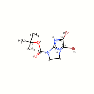 CC(C)(C)OC(=O)N1CCn2c1nc(Br)c2Br